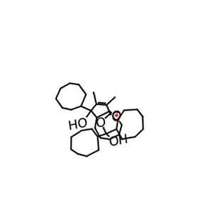 CC(C(=O)OC(O)(C1CCCCCCC1)C1CCCCCCC1)=C(C)C(O)(C1CCCCCCC1)C1CCCCCCC1